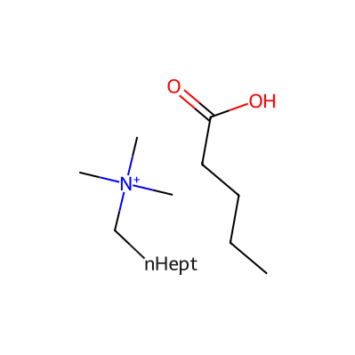 CCCCC(=O)O.CCCCCCCC[N+](C)(C)C